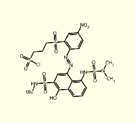 CN(C)S(=O)(=O)Nc1cccc2c(O)c(S(=O)(=O)NC(C)(C)C)cc(/N=N/c3ccc([N+](=O)[O-])cc3S(=O)(=O)CCCS(=O)(=O)Cl)c12